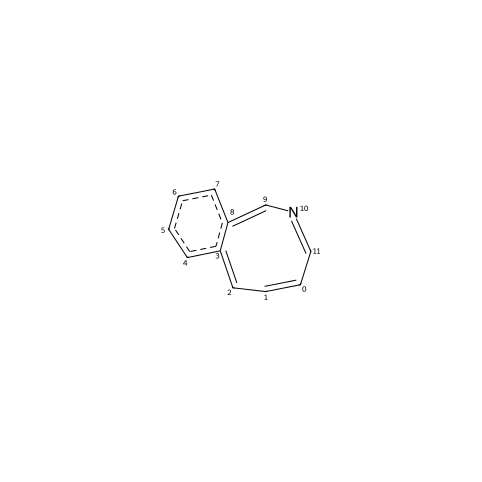 C1=CC=c2ccccc2=CN=C1